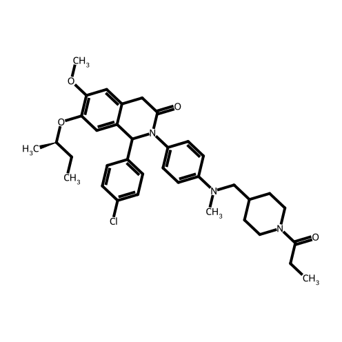 CCC(=O)N1CCC(CN(C)c2ccc(N3C(=O)Cc4cc(OC)c(O[C@H](C)CC)cc4C3c3ccc(Cl)cc3)cc2)CC1